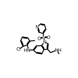 CNCc1cn(S(=O)(=O)c2cccnc2)c2cc(Nc3c(C)cccc3Cl)ccc12